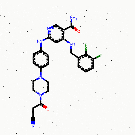 N#CCC(=O)N1CCN(c2ccc(Nc3cc(NCc4cccc(F)c4F)c(C(N)=O)cn3)cc2)CC1